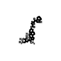 CCC(CCC(C)C1CCC2C3CC=C4CC(OC(=O)c5csc(C(=O)c6c[nH]c7ccccc67)n5)CCC4(C)C3CCC12C)C(C)C